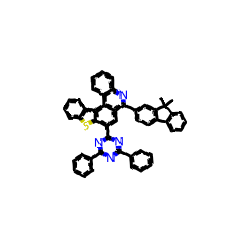 CC1(C)c2ccccc2-c2ccc(-c3nc4ccccc4c4c3cc(-c3nc(-c5ccccc5)nc(-c5ccccc5)n3)c3sc5ccccc5c34)cc21